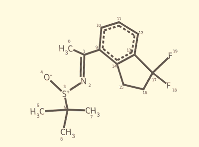 CC(=N[S+]([O-])C(C)(C)C)c1cccc2c1CCC2(F)F